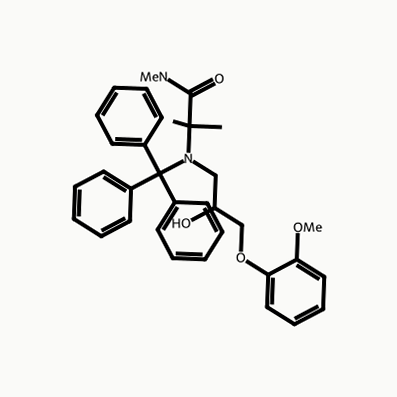 CNC(=O)C(C)(C)N(CC(O)COc1ccccc1OC)C(c1ccccc1)(c1ccccc1)c1ccccc1